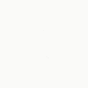 [K+].[S-]c1ccnc2ccsc12